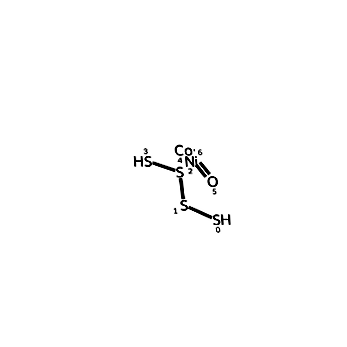 SSSS.[Co].[O]=[Ni]